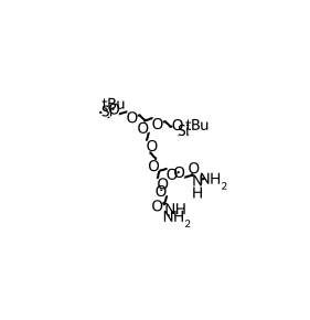 CC(C)(C)[Si](C)(C)OCCOCC(COCCO[Si](C)(C)C(C)(C)C)OCCOCCOC(COOCC(=O)NN)COOCC(=O)NN